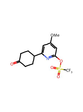 COc1cc(OS(=O)(=O)C(F)(F)F)nc(C2CCC(=O)CC2)c1